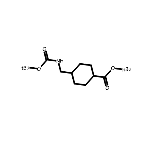 CCCCOC(=O)C1CCC(CNC(=O)OC(C)(C)C)CC1